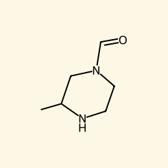 CC1CN(C=O)CCN1